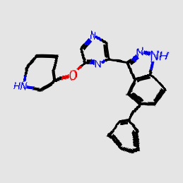 c1ccc(-c2ccc3[nH]nc(-c4cncc(OC5CCCNC5)n4)c3c2)cc1